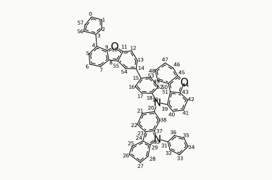 c1ccc(-c2cccc3c2oc2ccc(-c4ccc(N(c5ccc6c7ccccc7n(-c7ccccc7)c6c5)c5cccc6oc7ccccc7c56)cc4)cc23)cc1